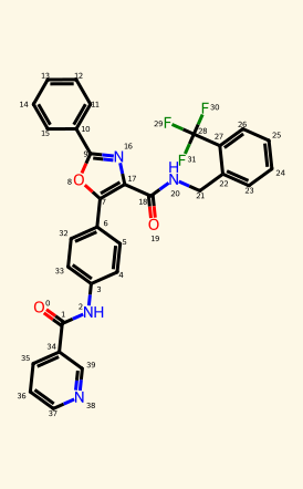 O=C(Nc1ccc(-c2oc(-c3ccccc3)nc2C(=O)NCc2ccccc2C(F)(F)F)cc1)c1cccnc1